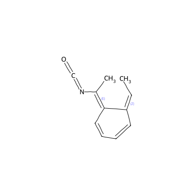 C/C=c1/cccc/c1=C(/C)N=C=O